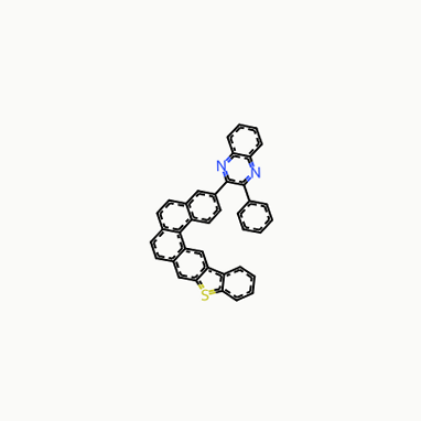 c1ccc(-c2nc3ccccc3nc2-c2ccc3c(ccc4ccc5cc6sc7ccccc7c6cc5c43)c2)cc1